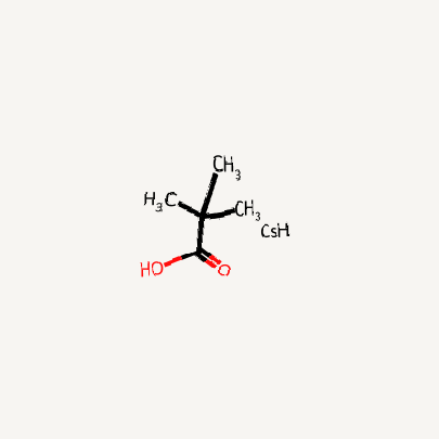 CC(C)(C)C(=O)O.[CsH]